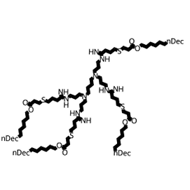 CCCCCCCCCCCCCCCCOC(=O)CCSCCCC(=N)NCCCN(CCCCN(CCCNC(=N)CCCSCCC(=O)OCCCCCCCCCCCCCCCC)CCCNC(=N)CCCSCCC(=O)OCCCCCCCCCCCCCCCC)CCCNC(=N)CCCSCCC(=O)OCCCCCCCCCCCCCCCC